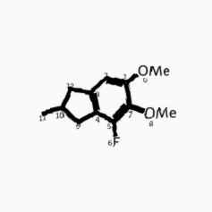 COc1cc2c(c(F)c1OC)CC(C)C2